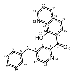 O=C(c1cc(Cc2ccccc2)ccn1)c1ccc2cccnc2c1O